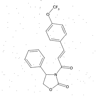 O=C(C=Cc1ccc(OC(F)(F)F)cc1)N1C(=O)OCC1c1ccccc1